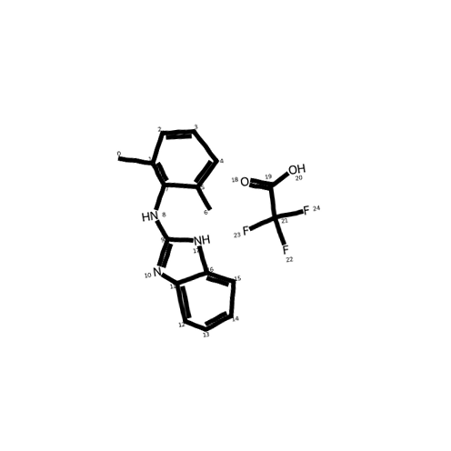 Cc1cccc(C)c1Nc1nc2ccccc2[nH]1.O=C(O)C(F)(F)F